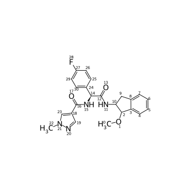 COC1c2ccccc2CC1NC(=O)[C@@H](NC(=O)c1cnn(C)c1)c1ccc(F)cc1